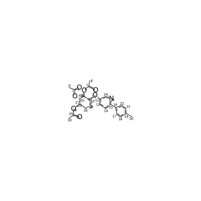 CC(=O)O[C@@H]1[C@@H](OC(C)=O)[C@@H](Oc2ccc(-c3ccc(C)cc3)nc2)SC[C@H]1OC(C)=O